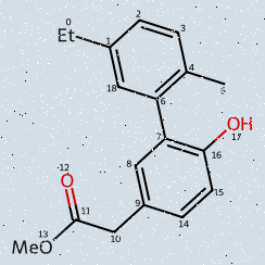 CCc1ccc(C)c(-c2cc(CC(=O)OC)ccc2O)c1